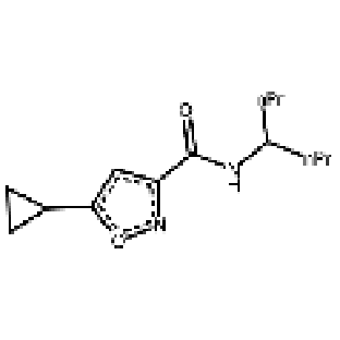 CCCC(CCC)NC(=O)c1cc(C2CC2)on1